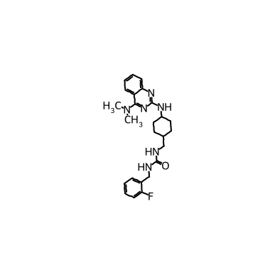 CN(C)c1nc(NC2CCC(CNC(=O)NCc3ccccc3F)CC2)nc2ccccc12